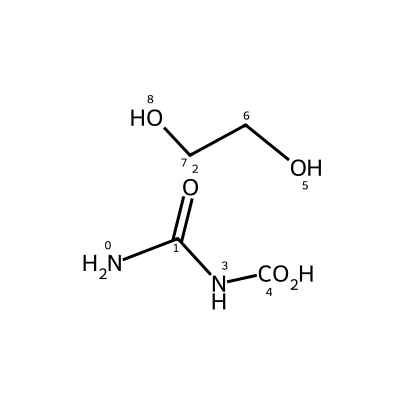 NC(=O)NC(=O)O.OCCO